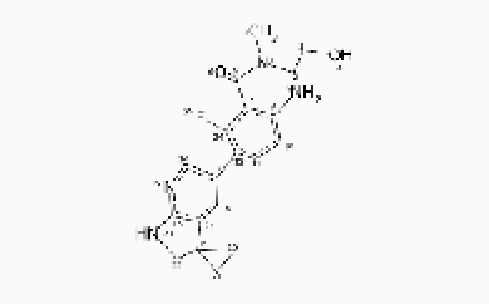 CN(CCO)C(=O)c1c(N)ccc(-c2cnc3c(c2)C2(CC2)CN3)c1F